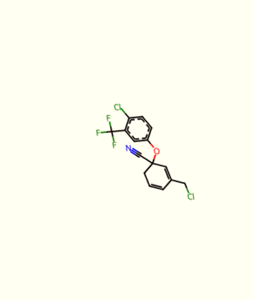 N#CC1(Oc2ccc(Cl)c(C(F)(F)F)c2)C=C(CCl)C=CC1